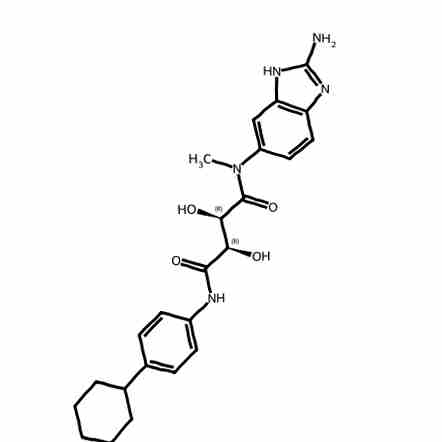 CN(C(=O)[C@H](O)[C@@H](O)C(=O)Nc1ccc(C2CCCCC2)cc1)c1ccc2nc(N)[nH]c2c1